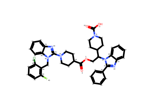 O=C(OCC(C1CCN(C(=O)O)CC1)n1c(-c2ccccc2)nc2ccccc21)C1CCN(c2nc3ccccc3n2Cc2c(F)cccc2Cl)CC1